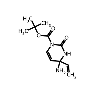 C=CC1(N)C=CN(C(=O)OC(C)(C)C)C(=O)N1